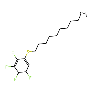 CCCCCCCCCCSC1=CC(F)[C](F)C(F)=C1F